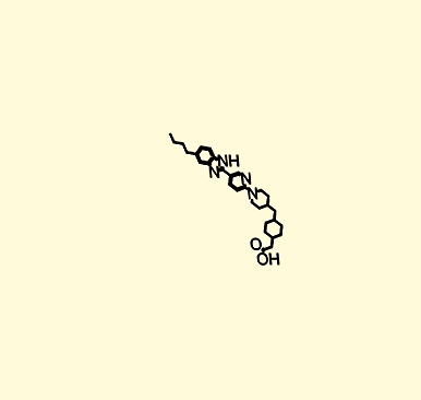 CCCCc1ccc2[nH]c(-c3ccc(N4CCC(CC5CCC(CC(=O)O)CC5)CC4)nc3)nc2c1